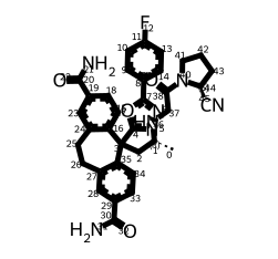 C[C@H](CC1(c2nnc(-c3ccc(F)cc3)o2)c2ccc(C(N)=O)cc2CCc2cc(C(N)=O)ccc21)NCC(=O)N1CCC[C@H]1C#N